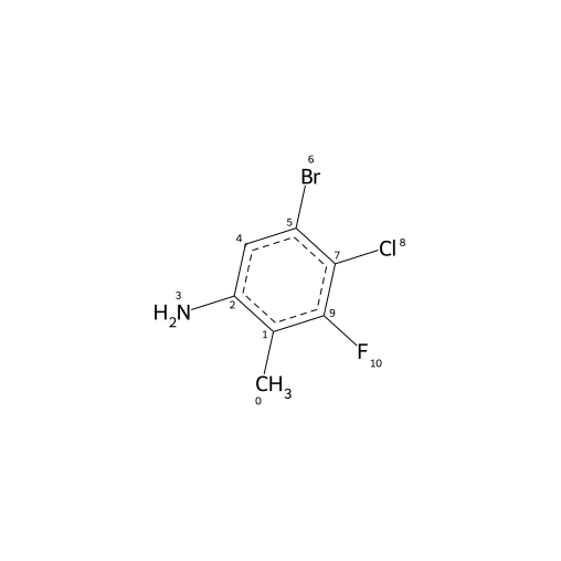 Cc1c(N)cc(Br)c(Cl)c1F